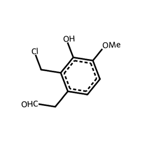 COc1ccc(CC=O)c(CCl)c1O